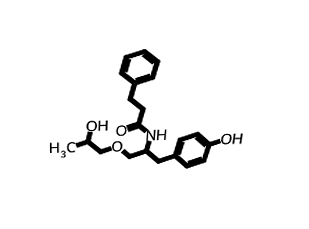 CC(O)COCC(Cc1ccc(O)cc1)NC(=O)CCc1ccccc1